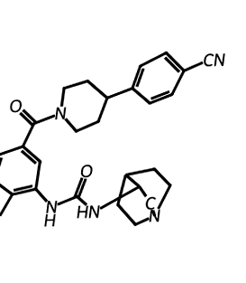 Cc1ccc(C(=O)N2CCC(c3ccc(C#N)cc3)CC2)cc1NC(=O)NC1CN2CCC1CC2